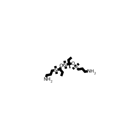 CCC(O[Si](C)(C)[C@](C)(CC)O[Si](C)(C)CCCN)[Si](C)(C)CCCN